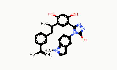 C=C(C)c1cccc(CC(C)c2cc(-c3nnc(O)n3-c3ccc4c(ccn4C)c3)c(O)cc2O)c1